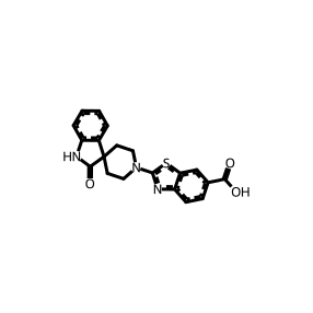 O=C(O)c1ccc2nc(N3CCC4(CC3)C(=O)Nc3ccccc34)sc2c1